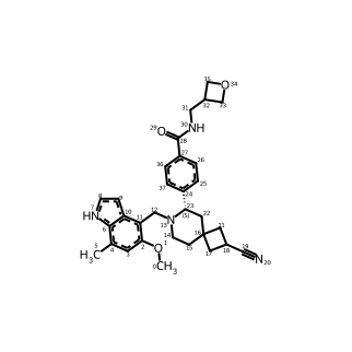 COc1cc(C)c2[nH]ccc2c1CN1CCC2(CC(C#N)C2)C[C@H]1c1ccc(C(=O)NCC2COC2)cc1